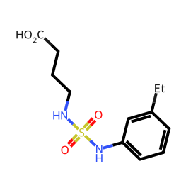 CCc1cccc(NS(=O)(=O)NCCCC(=O)O)c1